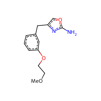 COCCOc1cccc(Cc2coc(N)n2)c1